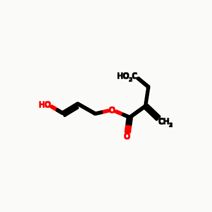 C=C(CC(=O)O)C(=O)OCC=CO